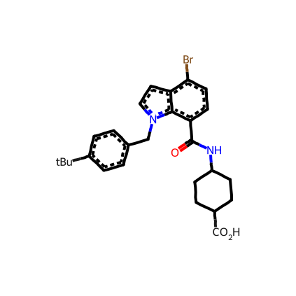 CC(C)(C)c1ccc(Cn2ccc3c(Br)ccc(C(=O)NC4CCC(C(=O)O)CC4)c32)cc1